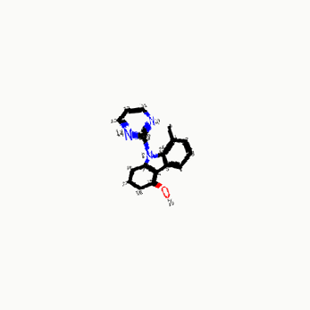 Cc1cccc2c3c(n(-c4ncccn4)c12)CCCC3=O